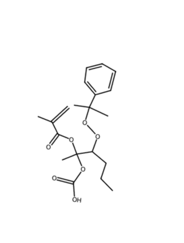 C=C(C)C(=O)OC(C)(OC(=O)O)C(CCC)OOC(C)(C)c1ccccc1